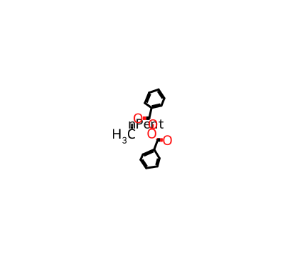 CCCCCC.O=C(OOC(=O)c1ccccc1)c1ccccc1